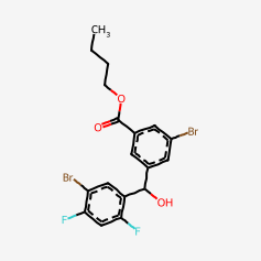 CCCCOC(=O)c1cc(Br)cc(C(O)c2cc(Br)c(F)cc2F)c1